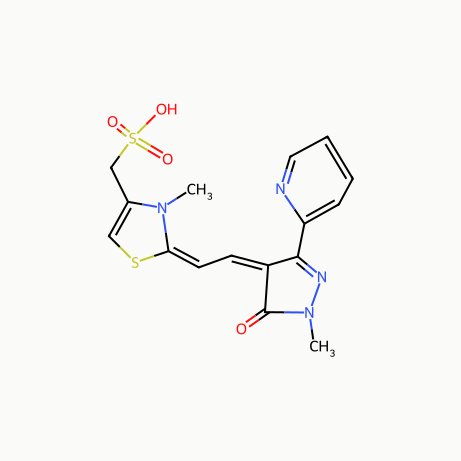 CN1N=C(c2ccccn2)/C(=C/C=C2/SC=C(CS(=O)(=O)O)N2C)C1=O